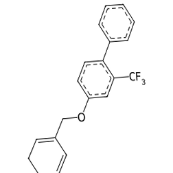 FC(F)(F)c1cc(OCC2=CC[CH]C=C2)ccc1-c1ccccc1